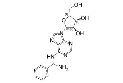 NC(Nc1ncnc2c1ncn2[C@@H]1O[C@H](CO)[C@@H](O)[C@H]1O)c1ccccc1